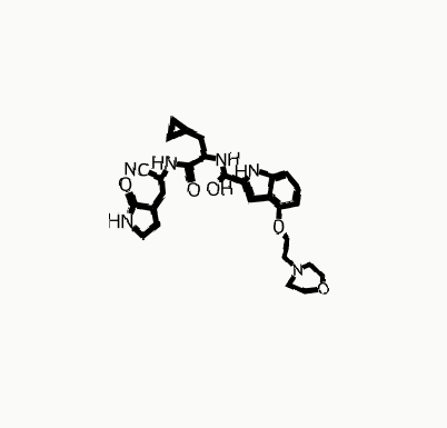 N#CC(CC1CCNC1=O)NC(=O)C(CC1CC1)NC(O)c1cc2c(OCCN3CCOCC3)cccc2[nH]1